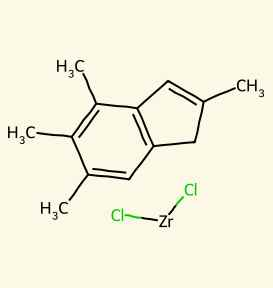 CC1=Cc2c(cc(C)c(C)c2C)C1.[Cl][Zr][Cl]